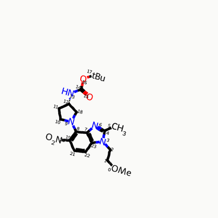 COCCn1c(C)nc2c(N3CC[C@H](NC(=O)OC(C)(C)C)C3)c([N+](=O)[O-])ccc21